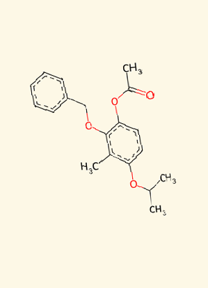 CC(=O)Oc1ccc(OC(C)C)c(C)c1OCc1ccccc1